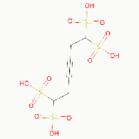 O=S(=O)(O)C(CC#CCC(S(=O)(=O)O)S(=O)(=O)O)S(=O)(=O)O